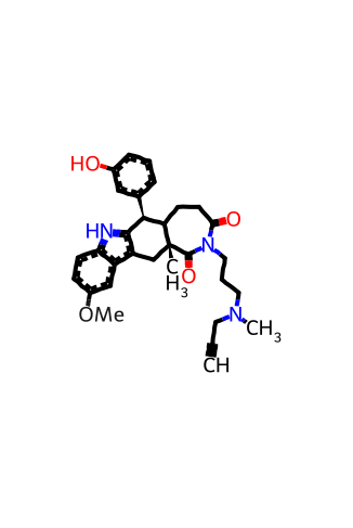 C#CCN(C)CCCN1C(=O)CCC2[C@H](c3cccc(O)c3)c3[nH]c4ccc(OC)cc4c3C[C@@]2(C)C1=O